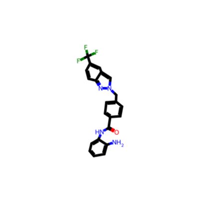 Nc1ccccc1NC(=O)c1ccc(Cn2cc3cc(C(F)(F)F)ccc3n2)cc1